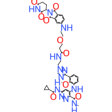 CNC(=O)c1nnc(NC(=O)C2CC2)cc1Nc1cccc(-c2ncn(CCNC(=O)CCOCCNc3ccc4c(c3)C(=O)N(C3CCC(=O)NC3=O)C4=O)n2)c1OC